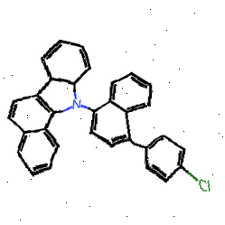 Clc1ccc(-c2ccc(N3c4c(ccc5ccccc45)C4C=CC=CC43)c3ccccc23)cc1